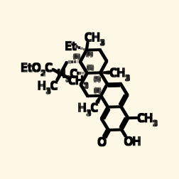 CCOC(=O)C(C)(C)C[C@@H]1[C@](C)(CC)CC[C@]2(C)C3=CC=C4C(=CC(=O)C(O)=C4C)[C@]3(C)CC[C@@]12C